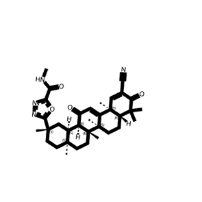 CNC(=O)c1nnc([C@@]2(C)CC[C@]3(C)CC[C@]4(C)[C@H](C(=O)C=C5[C@@]6(C)C=C(C#N)C(=O)C(C)(C)[C@@H]6CC[C@]54C)[C@@H]3C2)o1